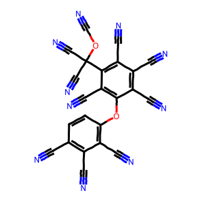 N#COC(C#N)(C#N)c1c(C#N)c(C#N)c(C#N)c(Oc2ccc(C#N)c(C#N)c2C#N)c1C#N